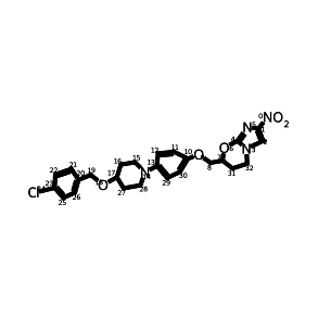 O=[N+]([O-])c1cn2c(n1)OC(COc1ccc(N3CCC(OCc4ccc(Cl)cc4)CC3)cc1)CC2